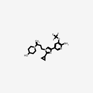 C=C(CCn1cc(-c2cnc(N)c(OC(F)(F)F)c2)nc1C1CC1)N1CCC(O)CC1